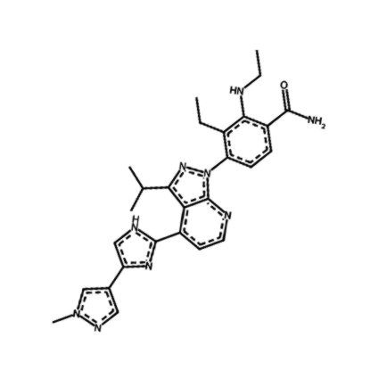 CCNc1c(C(N)=O)ccc(-n2nc(C(C)C)c3c(-c4nc(-c5cnn(C)c5)c[nH]4)ccnc32)c1CC